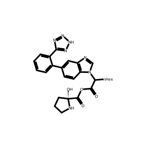 CCCCCCC(C(=O)OC(=O)[C@]1(O)CCCN1)n1cnc2cc(-c3ccccc3-c3nn[nH]n3)ccc21